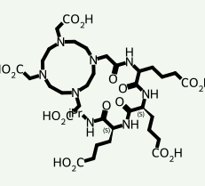 CC(C)NC(=O)[C@H](CCCC(=O)O)NC(=O)[C@H](CCCC(=O)O)NC(=O)C(CCCC(=O)O)NC(=O)CN1CCN(CC(=O)O)CCN(CC(=O)O)CCN(CC(=O)O)CC1